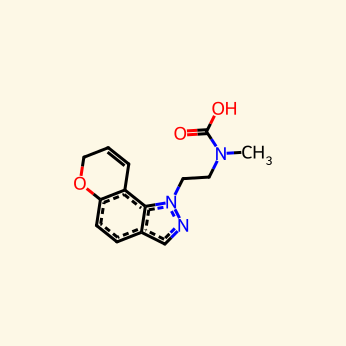 CN(CCn1ncc2ccc3c(c21)C=CCO3)C(=O)O